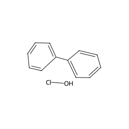 OCl.c1ccc(-c2ccccc2)cc1